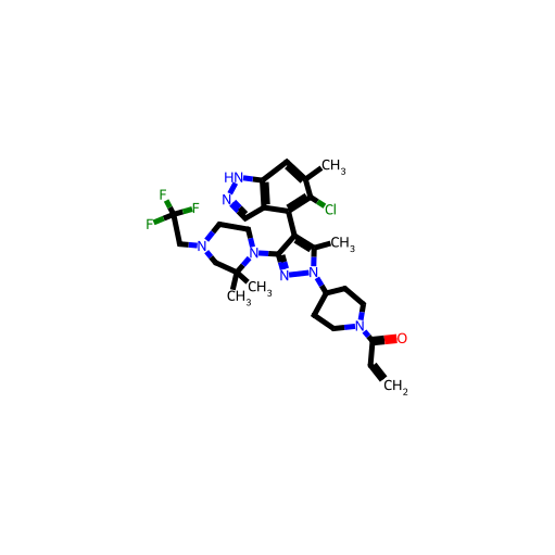 C=CC(=O)N1CCC(n2nc(N3CCN(CC(F)(F)F)CC3(C)C)c(-c3c(Cl)c(C)cc4[nH]ncc34)c2C)CC1